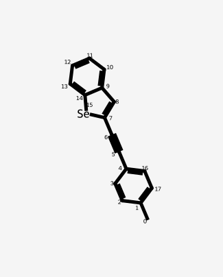 Cc1ccc(C#Cc2cc3ccccc3[se]2)cc1